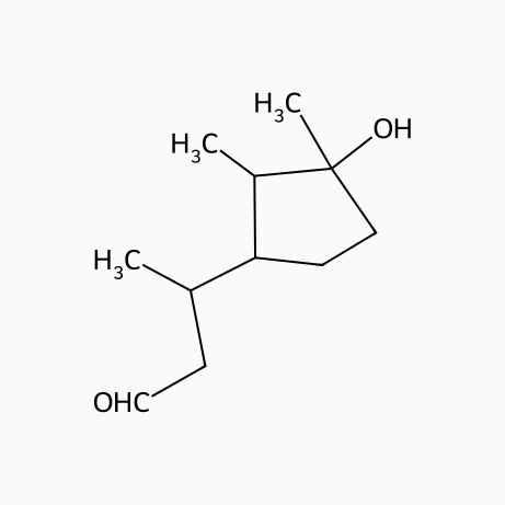 CC(CC=O)C1CCC(C)(O)C1C